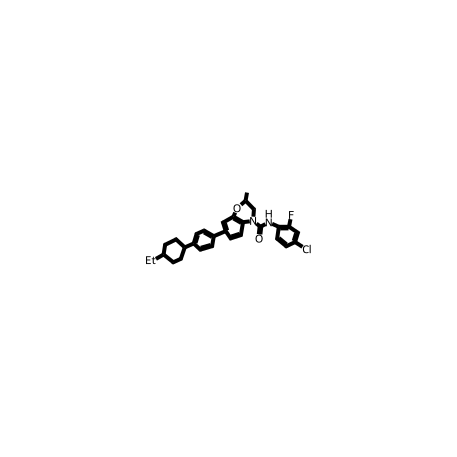 CCC1CCC(c2ccc(-c3ccc4c(c3)OC(C)CN4C(=O)Nc3ccc(Cl)cc3F)cc2)CC1